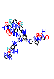 Cc1cc(C2CCN(C[C@H]3CC[C@H](n4cc5cc(NC(=O)c6cccc(C(F)(F)F)n6)c(F)cc5n4)CC3CN(CCn3cc4cc(NC(=O)c5cnn6cccnc56)c(F)cc4n3)C3CCN(c4cccc5c4n(C)c(=O)n5C4CCC(=O)NC4=O)CC3)CC2)c2c(c1)n(C1CCC(=O)NC1=O)c(=O)n2C